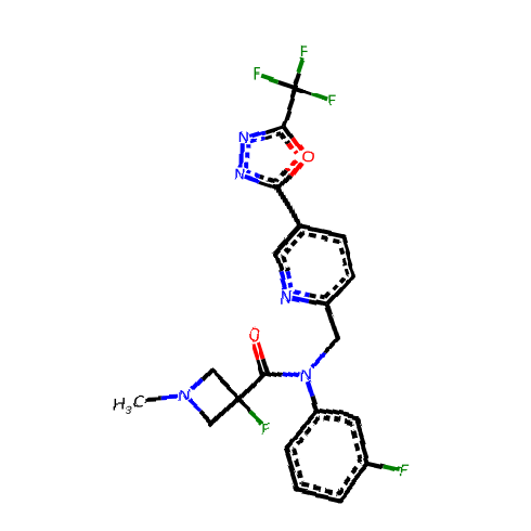 CN1CC(F)(C(=O)N(Cc2ccc(-c3nnc(C(F)(F)F)o3)cn2)c2cccc(F)c2)C1